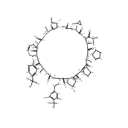 CC[C@H](C)[C@@H]1NC(=O)[C@H](CC2CC2)N(C)C(=O)C[C@@H](C(=O)N(C)C)N(C)C(=O)[C@H](C2CCCC2)N(C)C(=O)C2(CCCC2)NC(=O)[C@@H]2C[C@H](C)CN2C(=O)[C@H](CCc2cc(F)c(C(F)(F)F)c(F)c2)NC(=O)CN(C)C(=O)[C@H](Cc2ccc(C(F)(F)F)cc2)N2CC/C=C\C[C@@H](C2=O)N(C)C(=O)CN(C)C1=O